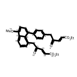 CCOC(=O)/C=C/C(=O)Cc1ccc(-c2ccc(OC)c3cccc(CC(=O)/C=C/C(=O)OCC)c23)cc1